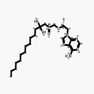 CCCCCCCCCCCCC(S)(S)C[PH](=O)CO[C@H](C)Cn1cnc2c(N)ncnc21